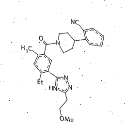 CCc1cc(C)c(C(=O)N2CCC(c3ccccc3C#N)CC2)cc1-c1nnc(CCOC)[nH]1